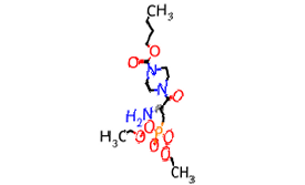 CCCCOC(=O)N1CCN(C(=O)[C@@H](N)CP(=O)(OOCC)OOCC)CC1